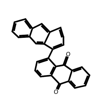 O=C1c2ccccc2C(=O)c2c1cccc2-c1cccc2cc3ccccc3cc12